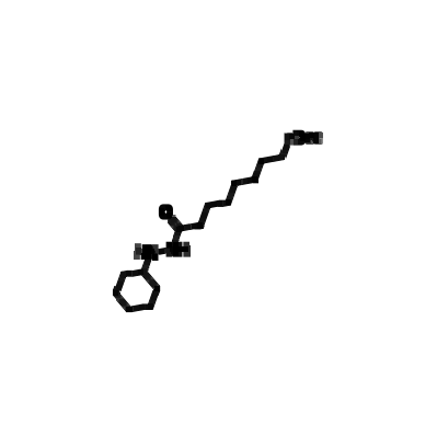 CCCCCCCCCCCCCCCCCC(=O)NNC1CCCCC1